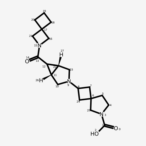 O=C(O)N1CCC2(CC(N3C[C@@H]4C(C(=O)N5CC6(CCC6)C5)[C@@H]4C3)C2)C1